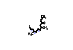 CCOC(=O)C[C@@H](C)/C=C/C=C(C)\C=C\I